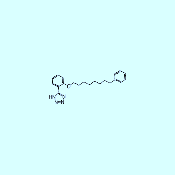 c1ccc(CCCCCCCCOc2ccccc2-c2nnn[nH]2)cc1